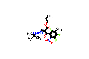 CCCOC(=O)/C(=C/NNC(C)(C)C)C(=O)c1c(F)c(C)c(F)c(F)c1[N+](=O)[O-]